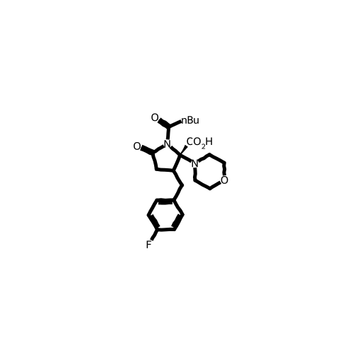 CCCCC(=O)N1C(=O)CC(Cc2ccc(F)cc2)[C@@]1(C(=O)O)N1CCOCC1